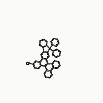 Clc1ccc2c(c1)c1cc3c(cc1c1c4ccccc4c4ccccc4c21)C(c1ccccc1)(c1ccccc1)c1ccccc1-3